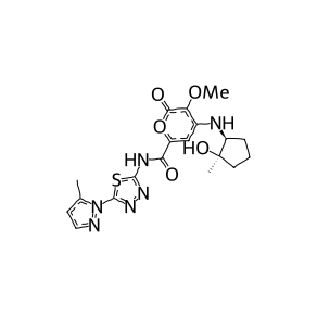 COc1c(N[C@H]2CCC[C@@]2(C)O)cc(C(=O)Nc2nnc(-n3nccc3C)s2)oc1=O